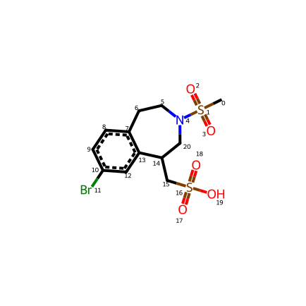 CS(=O)(=O)N1CCc2ccc(Br)cc2C(CS(=O)(=O)O)C1